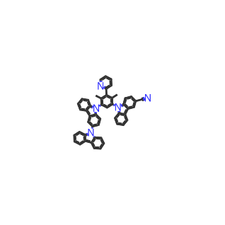 Cc1c(-n2c3ccccc3c3cc(C#N)ccc32)cc(-n2c3ccccc3c3cc(-n4c5ccccc5c5ccccc54)ccc32)c(C)c1-c1ccccn1